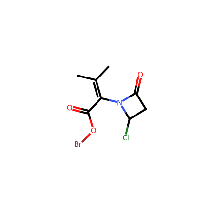 CC(C)=C(C(=O)OBr)N1C(=O)CC1Cl